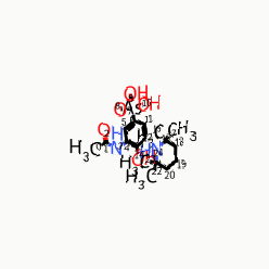 CC(=O)Nc1cc([As](=O)(O)O)ccc1O.CC1(C)CCCC(C)(C)N1